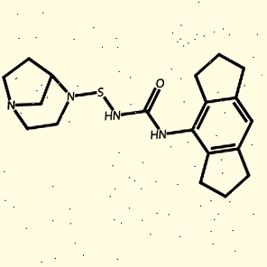 O=C(NSN1CCN2CCC1C2)Nc1c2c(cc3c1CCC3)CCC2